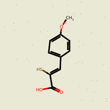 COc1ccc(/C=C(\S)C(=O)O)cc1